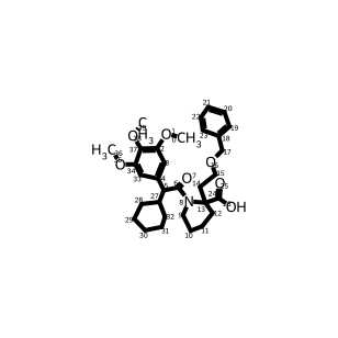 COc1cc(C(C(=O)N2CCCCC2(CCOCc2ccccc2)C(=O)O)C2CCCCC2)cc(OC)c1OC